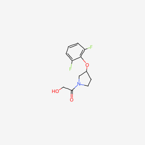 O=C(CO)N1CCC(Oc2c(F)cccc2F)C1